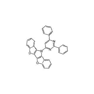 c1ccc(-c2cc(-n3c4c5ccccc5oc4c4oc5ccccc5c43)nc(-c3ccccc3)n2)cc1